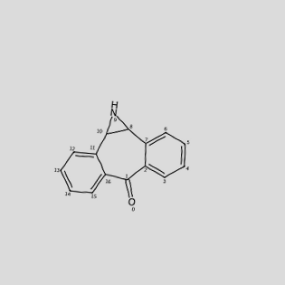 O=C1c2ccccc2C2NC2c2ccccc21